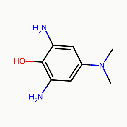 CN(C)c1cc(N)c(O)c(N)c1